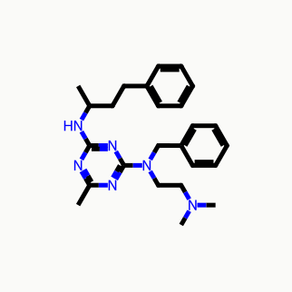 Cc1nc(NC(C)CCc2ccccc2)nc(N(CCN(C)C)Cc2ccccc2)n1